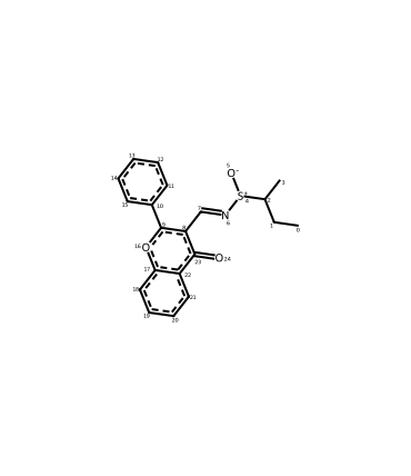 CCC(C)[S+]([O-])N=Cc1c(-c2ccccc2)oc2ccccc2c1=O